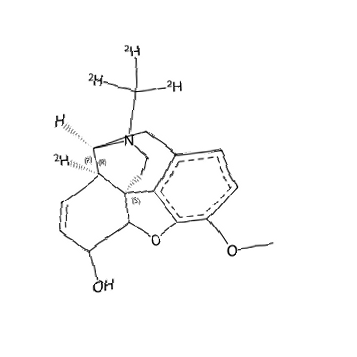 [2H]C([2H])([2H])N1CC[C@]23c4c5ccc(OC)c4OC2C(O)C=C[C@@]3([2H])[C@H]1C5